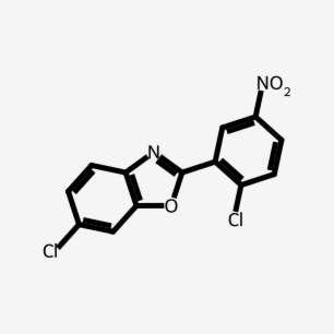 O=[N+]([O-])c1ccc(Cl)c(-c2nc3ccc(Cl)cc3o2)c1